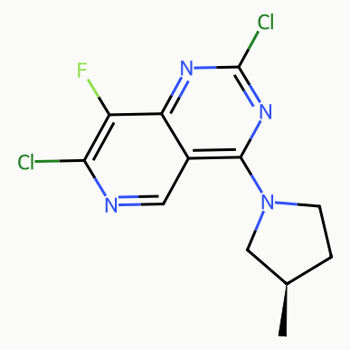 C[C@@H]1CCN(c2nc(Cl)nc3c(F)c(Cl)ncc23)C1